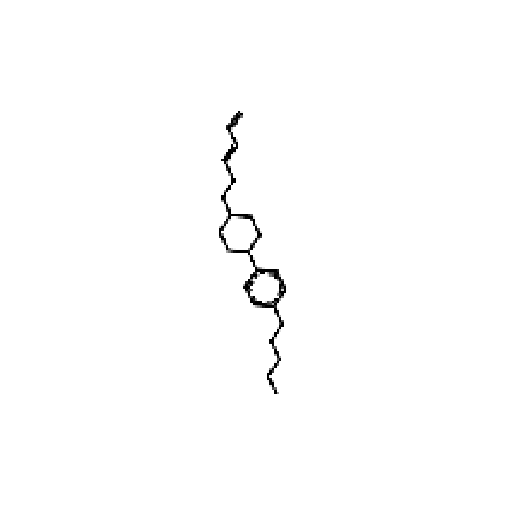 C=C/C=C/CCC1CCC(c2ccc(CCCCC)cc2)CC1